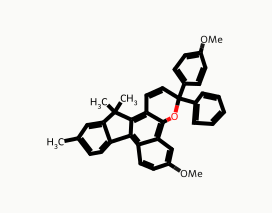 COc1ccc(C2(c3ccccc3)C=Cc3c4c(c5ccc(OC)cc5c3O2)-c2ccc(C)cc2C4(C)C)cc1